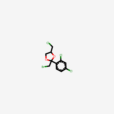 ClCC1COC(CBr)(c2ccc(Cl)cc2Cl)O1